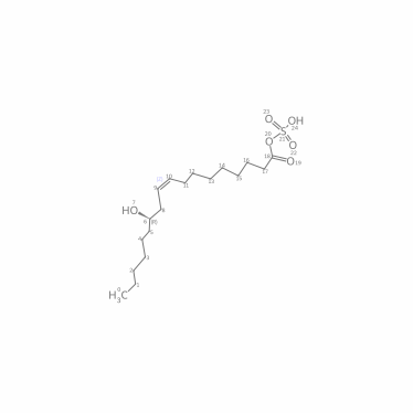 CCCCCC[C@@H](O)C/C=C\CCCCCCCC(=O)OS(=O)(=O)O